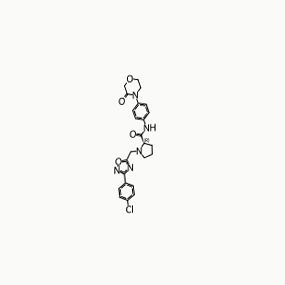 O=C(Nc1ccc(N2CCOCC2=O)cc1)[C@H]1CCCN1Cc1nc(-c2ccc(Cl)cc2)no1